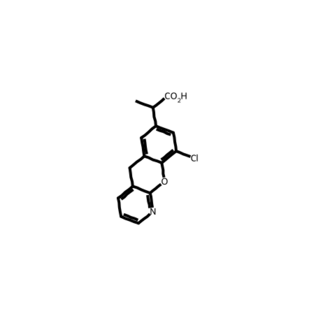 CC(C(=O)O)c1cc(Cl)c2c(c1)Cc1cccnc1O2